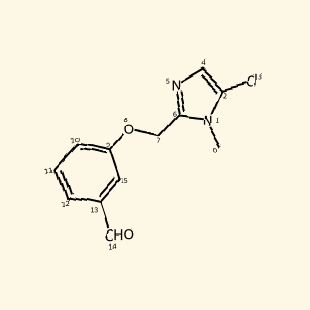 Cn1c(Cl)cnc1COc1cccc(C=O)c1